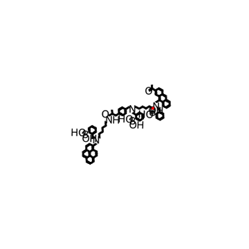 CC(=O)c1ccc2cc3ccccc3c(CN(CCCCCCN(Cc3ccc(CC(C)C(=O)NCCCCCCN(Cc4ccccc4B(O)O)Cc4ccc5ccc6cccc7ccc4c5c67)cc3)Cc3ccccc3B(O)O)Cc3ccccc3B(O)O)c2c1